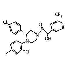 Cc1ccc(N2CCN(C(=O)C(O)c3cccc(C(F)(F)F)c3)C[C@H]2c2ccc(Cl)cc2)c(Cl)c1